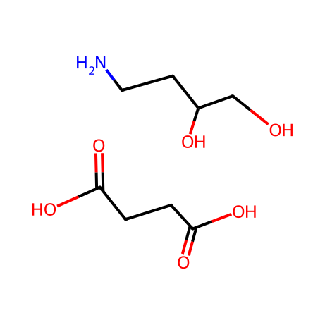 NCCC(O)CO.O=C(O)CCC(=O)O